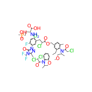 CC1COc2ccccc2N1C(=O)C(Cl)Cl.CCOC(=O)C(Cl)Cc1cc(-n2nc(C)n(C(F)F)c2=O)c(F)cc1Cl.CCc1cccc(C)c1N(C(=O)CCl)C(C)COC.CP(=O)(O)CCC(N)C(=O)O